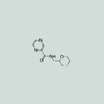 O=C(NCC1CCCCO1)c1cnccn1